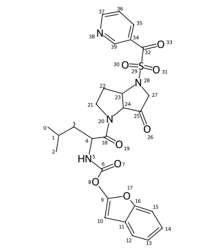 CC(C)CC(NC(=O)Oc1cc2ccccc2o1)C(=O)N1CCC2C1C(=O)CN2S(=O)(=O)C(=O)c1cccnc1